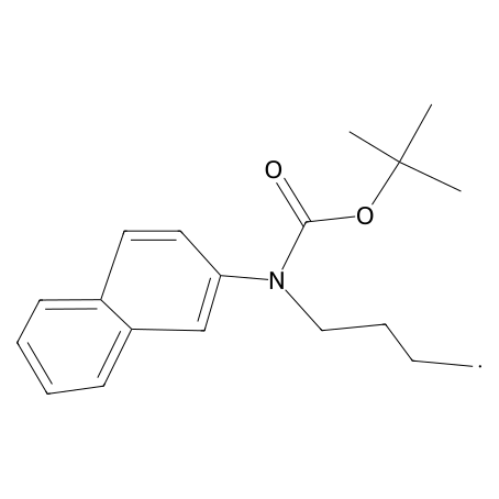 [CH2]CCCN(C(=O)OC(C)(C)C)c1ccc2ccccc2c1